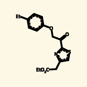 CCOC(=O)Cc1csc(C(=O)COc2ccc(CC)cc2)n1